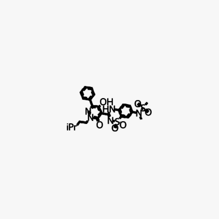 CC(C)CCn1nc(-c2ccccc2)c(O)c(C2=NS(=O)(=O)c3cc(N(C)S(C)(=O)=O)ccc3N2)c1=O